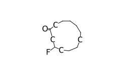 O=C1CCCCCCCCCC(F)C1